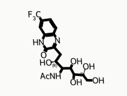 CC(=O)NC(C(O)C(O)[C@H](O)CO)[C@H](O)Cc1nc2ccc(C(F)(F)F)cc2[nH]c1=O